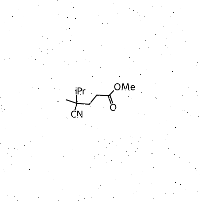 COC(=O)CCC(C)(C#N)C(C)C